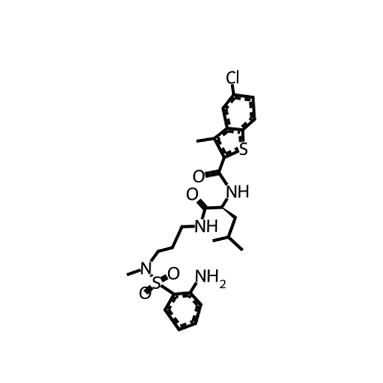 Cc1c(C(=O)N[C@@H](CC(C)C)C(=O)NCCCN(C)S(=O)(=O)c2ccccc2N)sc2ccc(Cl)cc12